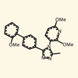 COc1ccc(-n2c(C)nnc2-c2ccc(-c3ccccc3OC)cc2)c(OC)n1